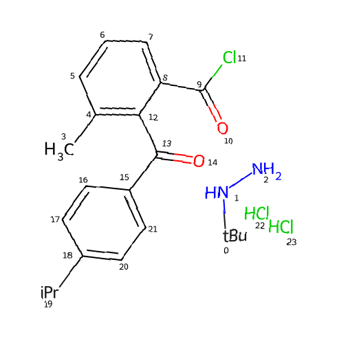 CC(C)(C)NN.Cc1cccc(C(=O)Cl)c1C(=O)c1ccc(C(C)C)cc1.Cl.Cl